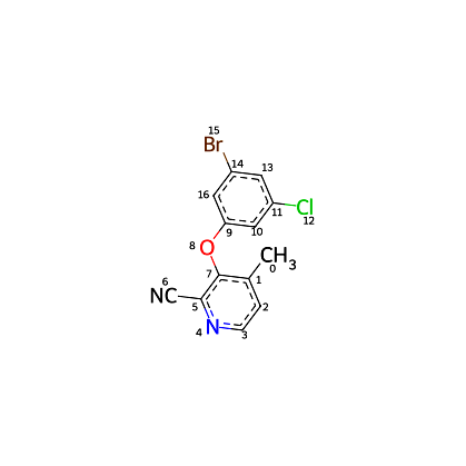 Cc1ccnc(C#N)c1Oc1cc(Cl)cc(Br)c1